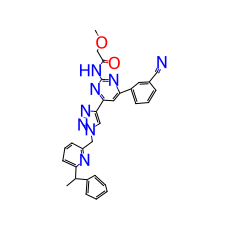 COCC(=O)Nc1nc(-c2cccc(C#N)c2)cc(-c2cn(Cc3cccc(C(C)c4ccccc4)n3)nn2)n1